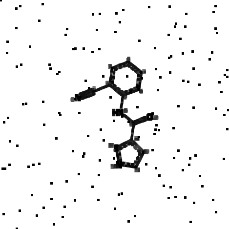 N#Cc1ccccc1NC(=O)c1ccns1